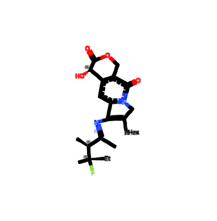 CCCCCCC1=C(/N=C(\C)[C@H](C)[C@@](C)(F)CC)c2cc3c(c(=O)n2C1)COC(=O)[C@H]3O